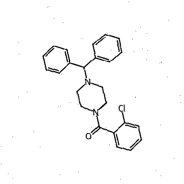 O=C(c1ccccc1Cl)N1CCN(C(c2ccccc2)c2ccccc2)CC1